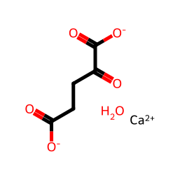 O.O=C([O-])CCC(=O)C(=O)[O-].[Ca+2]